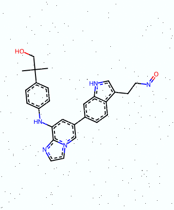 CC(C)(CO)c1ccc(Nc2cc(-c3ccc4c(CCN=O)c[nH]c4c3)cn3ccnc23)cc1